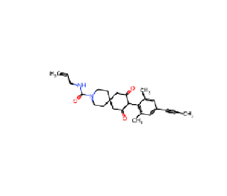 C=CCNC(=O)N1CCC2(CC1)CC(=O)C(c1c(C)cc(C#CC)cc1C)C(=O)C2